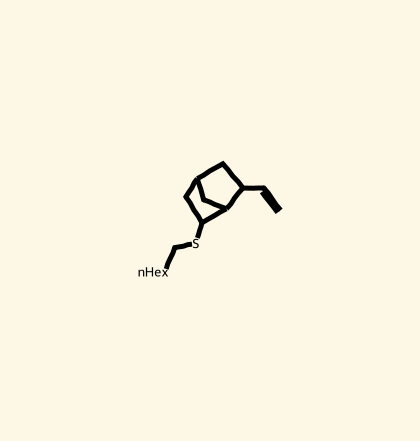 C=CC1CC2CC(SCCCCCCC)C1C2